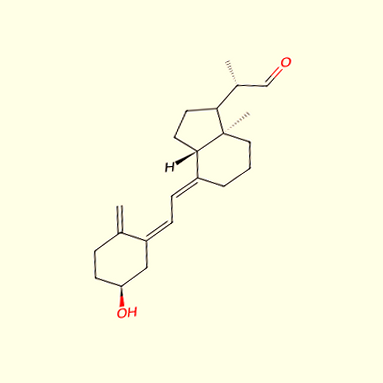 C=C1CC[C@H](O)C/C1=C/C=C1\CCC[C@]2(C)C([C@H](C)C=O)CC[C@@H]12